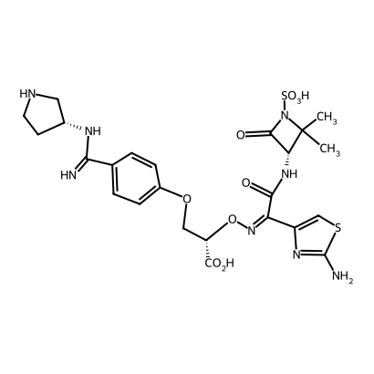 CC1(C)[C@H](NC(=O)C(=NO[C@@H](COc2ccc(C(=N)N[C@@H]3CCNC3)cc2)C(=O)O)c2csc(N)n2)C(=O)N1S(=O)(=O)O